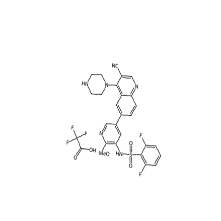 COc1ncc(-c2ccc3ncc(C#N)c(N4CCNCC4)c3c2)cc1NS(=O)(=O)c1c(F)cccc1F.O=C(O)C(F)(F)F